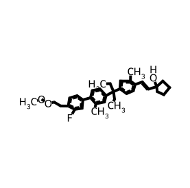 CCC(CC)(c1ccc(/C=C/C2(O)CCCC2)c(C)c1)c1ccc(-c2ccc(CCOOC)c(F)c2)c(C)c1